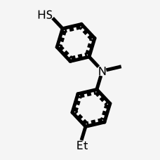 CCc1ccc(N(C)c2ccc(S)cc2)cc1